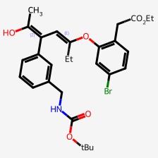 CCOC(=O)Cc1ccc(Br)cc1O/C(=C/C(=C(\C)O)c1cccc(CNC(=O)OC(C)(C)C)c1)CC